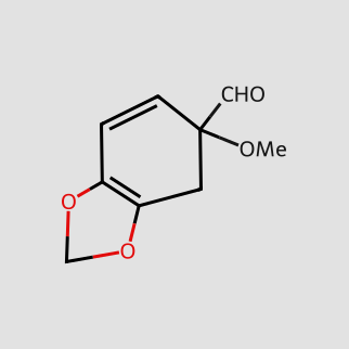 COC1(C=O)C=CC2=C(C1)OCO2